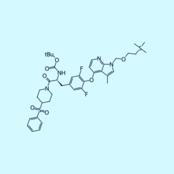 Cc1cn(COCCS(C)(C)C)c2nccc(Oc3c(F)cc(C[C@H](NC(=O)OC(C)(C)C)C(=O)N4CCC(S(=O)(=O)c5ccccc5)CC4)cc3F)c12